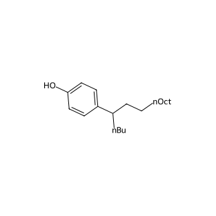 CCCCCCCCCCC(CCCC)c1ccc(O)cc1